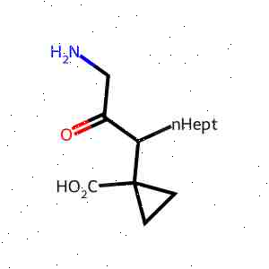 CCCCCCCC(C(=O)CN)C1(C(=O)O)CC1